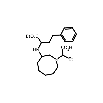 CCOC(=O)C(CCc1ccccc1)NC1CCCCCN(C(CC)C(=O)O)C1